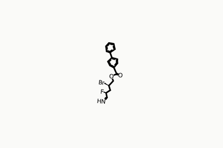 N=C[C@@H](F)C[C@@H](Br)COC(=O)c1ccc(-c2ccccc2)cc1